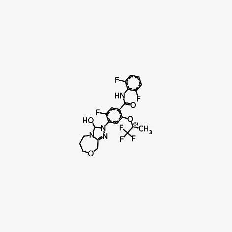 C[C@H](Oc1cc(N2N=C3COCCCN3C2O)c(F)cc1C(=O)Nc1c(F)cccc1F)C(F)(F)F